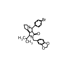 CC(C)C1C2=C3CCCN3C(c3ccc(Br)cc3)C2C(=O)N1Cc1ccc2c(c1)OCO2